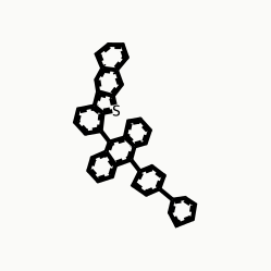 c1ccc(-c2ccc(-c3c4ccccc4c(-c4cccc5c4sc4cc6ccccc6cc45)c4ccccc34)cc2)cc1